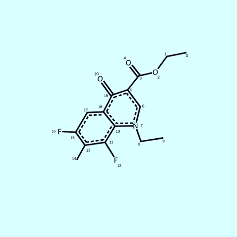 CCOC(=O)c1cn(CC)c2c(F)c(C)c(F)cc2c1=O